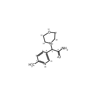 Cc1ccc(C(C(N)=O)N2CCOCC2)cn1